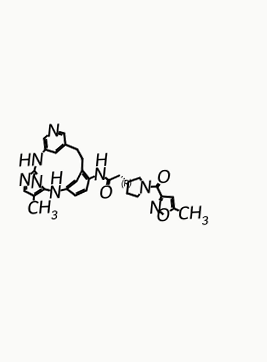 Cc1cc(C(=O)N2CC[C@H](CC(=O)Nc3ccc4cc3CCc3cncc(c3)Nc3ncc(C)c(n3)N4)C2)no1